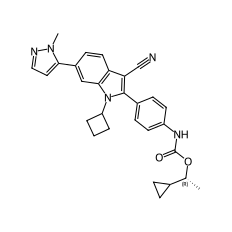 C[C@@H](OC(=O)Nc1ccc(-c2c(C#N)c3ccc(-c4ccnn4C)cc3n2C2CCC2)cc1)C1CC1